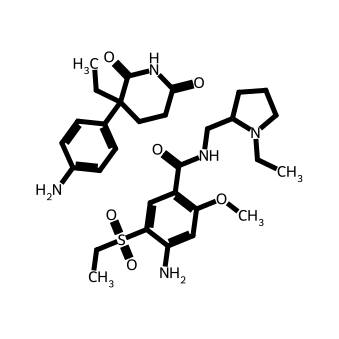 CCC1(c2ccc(N)cc2)CCC(=O)NC1=O.CCN1CCCC1CNC(=O)c1cc(S(=O)(=O)CC)c(N)cc1OC